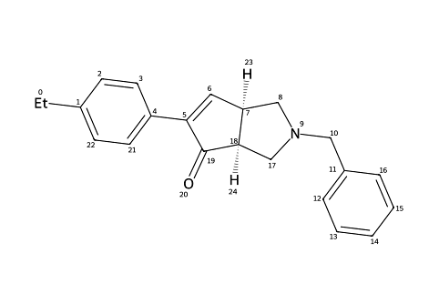 CCc1ccc(C2=C[C@H]3CN(Cc4ccccc4)C[C@H]3C2=O)cc1